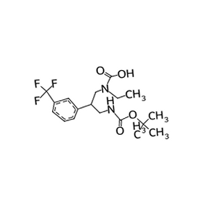 CCN(CC(CNC(=O)OC(C)(C)C)c1cccc(C(F)(F)F)c1)C(=O)O